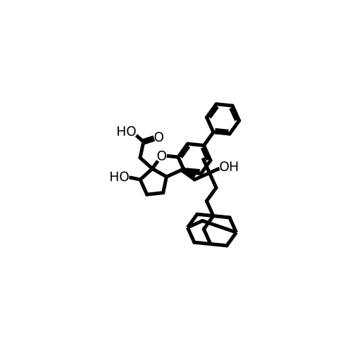 CC(O)(C=CC1CCC(O)C1(CC(=O)O)Oc1cccc(-c2ccccc2)c1)CCC12CC3CC(CC(C3)C1)C2